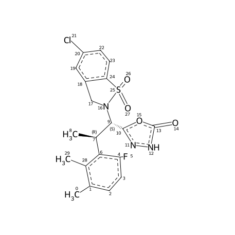 Cc1ccc(F)c([C@@H](C)[C@@H](c2n[nH]c(=O)o2)N2Cc3cc(Cl)ccc3S2(=O)=O)c1C